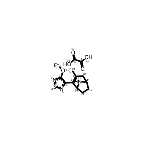 CCOc1nsnc1C1=C(Cl)CC2CCC1N2.O=C(O)C(=O)O